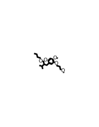 CCCCOC(=O)C(Cc1ccc(OC)c(OCCCOC)c1)C(C)C